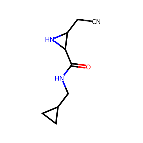 N#CCC1NC1C(=O)NCC1CC1